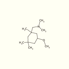 COC1CC(C)(C)CC(C)(CN(C)C)C1